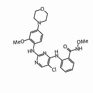 CONC(=O)c1ccccc1Nc1nc(Nc2ccc(N3CCOCC3)cc2OC)ncc1Cl